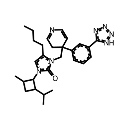 CCCCc1cn(C2C(C)CC2C(C)C)c(=O)n1CC1(c2cccc(-c3nnn[nH]3)c2)C=CN=CC1